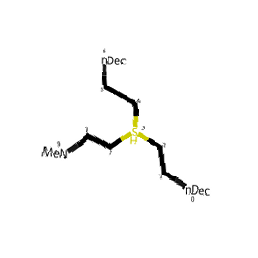 CCCCCCCCCCCC[SH](CCCCCCCCCCCC)CCNC